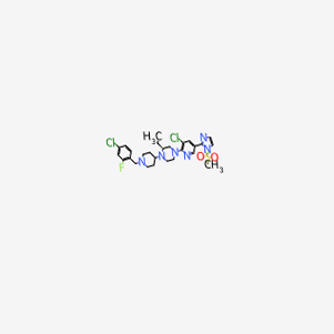 CC[C@H]1CN(c2ncc(-c3nccn3S(C)(=O)=O)cc2Cl)CCN1C1CCN(Cc2ccc(Cl)cc2F)CC1